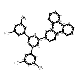 Cc1cc(C)cc(-c2nc(-c3cc(C)cc(C)c3)nc(-c3ccc4c5ccccc5c5ccccc5c4c3)n2)c1